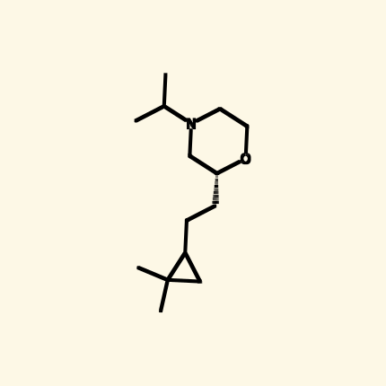 CC(C)N1CCO[C@H](CCC2CC2(C)C)C1